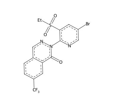 CCS(=O)(=O)c1cc(Br)cnc1-n1ncc2ccc(C(F)(F)F)cc2c1=O